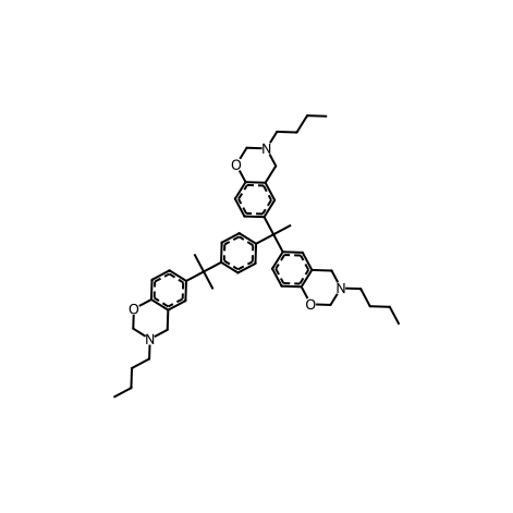 CCCCN1COc2ccc(C(C)(C)c3ccc(C(C)(c4ccc5c(c4)CN(CCCC)CO5)c4ccc5c(c4)CN(CCCC)CO5)cc3)cc2C1